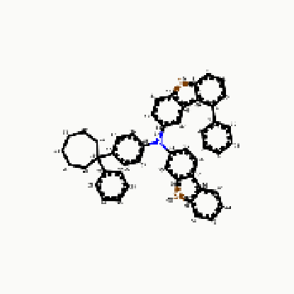 c1ccc(-c2cccc3sc4ccc(N(c5ccc(C6(c7ccccc7)CCCCCC6)cc5)c5ccc6c(c5)sc5ccccc56)cc4c23)cc1